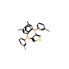 Cc1cccc(P(c2cccc(C)c2)c2cscc2P(c2cccc(C)c2)c2cccc(C)c2)c1